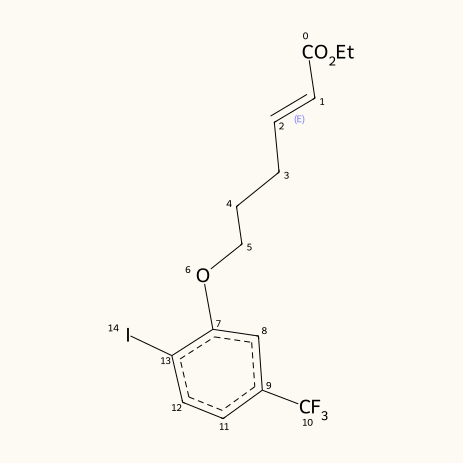 CCOC(=O)/C=C/CCCOc1cc(C(F)(F)F)ccc1I